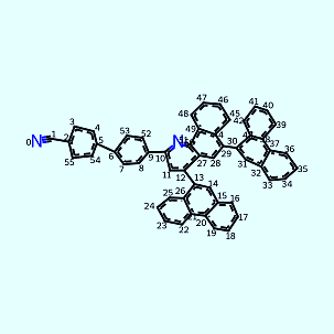 N#Cc1ccc(-c2ccc(-c3cc(-c4cc5ccccc5c5ccccc45)c4cc(-c5cc6ccccc6c6ccccc56)c5ccccc5c4n3)cc2)cc1